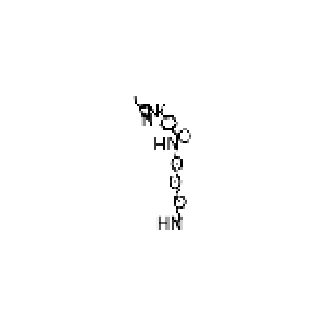 CCc1cnn(C(C)c2ccc(C(=O)NCCOCCOCCOCCNC)cc2)c1